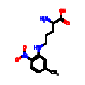 Cc1ccc([N+](=O)[O-])c(NCCC[C@@H](N)C(=O)O)c1